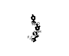 Cc1cc(Nc2nccn3c(C4=CCN=C4C(F)(F)F)cnc23)ccc1C(=O)NCC(=O)C1CCC(C)CC1